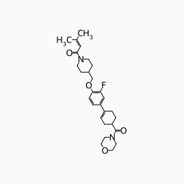 CC(C)=CC(=O)N1CCC(COc2ccc(C3=CCC(C(=O)N4CCOCC4)CC3)cc2F)CC1